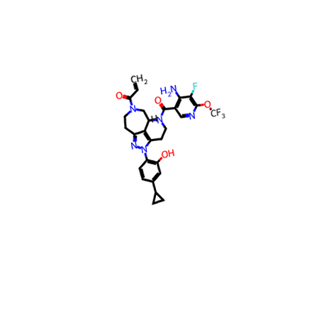 C=CC(=O)N1CCc2nn(-c3ccc(C4CC4)cc3O)c3c2[C@H](C1)N(C(=O)c1cnc(OC(F)(F)F)c(F)c1N)CC3